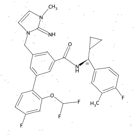 Cc1cc([C@@H](NC(=O)c2cc(Cn3ccn(C)c3=N)cc(-c3ccc(F)cc3OC(F)F)c2)C2CC2)ccc1F